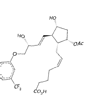 CC(=O)O[C@H]1C[C@@H](O)[C@H](/C=C/[C@@H](O)COc2cccc(C(F)(F)F)c2)[C@H]1C/C=C\CCCC(=O)O